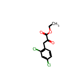 CCOC(=O)C(=O)Cc1ccc(Cl)cc1Cl